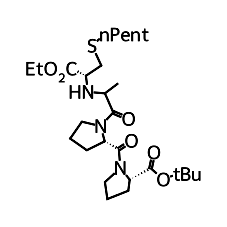 CCCCCSC[C@H](NC(C)C(=O)N1CCC[C@H]1C(=O)N1CCC[C@H]1C(=O)OC(C)(C)C)C(=O)OCC